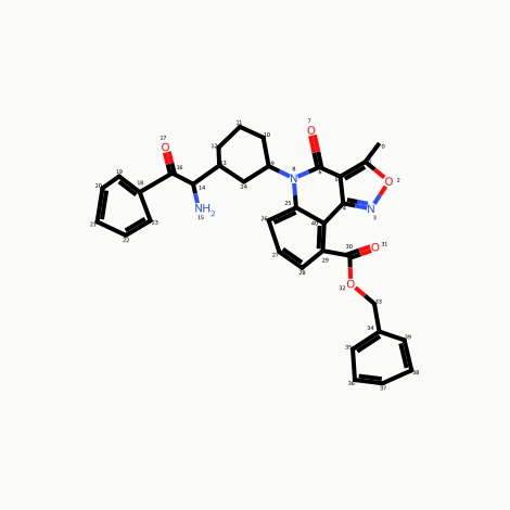 Cc1onc2c1c(=O)n(C1CCCC(C(N)C(=O)c3ccccc3)C1)c1cccc(C(=O)OCc3ccccc3)c21